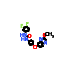 COc1cnc2ccc(Oc3ccc(NC(=O)Nc4ccc(F)c(F)c4)cc3)cc2n1